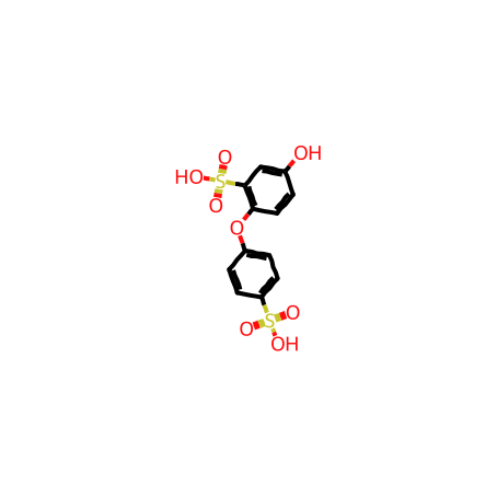 O=S(=O)(O)c1ccc(Oc2ccc(O)cc2S(=O)(=O)O)cc1